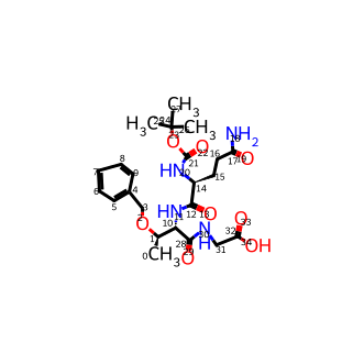 C[C@@H](OCc1ccccc1)[C@H](NC(=O)[C@H](CCC(N)=O)NC(=O)OC(C)(C)C)C(=O)NCC(=O)O